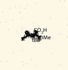 COCC(CCN(c1cc(C)c(/N=c2\sc3ccccc3n2COCC[Si](C)(C)C)nn1)c1nc(C(=O)O)cs1)O[Si](C)(C)C(C)(C)C